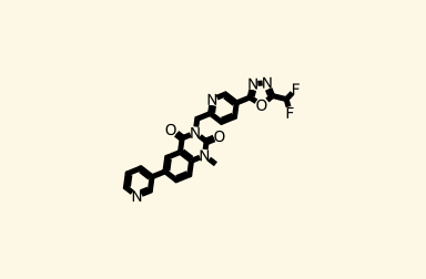 Cn1c(=O)n(Cc2ccc(-c3nnc(C(F)F)o3)cn2)c(=O)c2cc(-c3cccnc3)ccc21